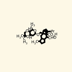 CC(C)C1=CC2CC3(C=O)C4CCC(C)C4CC2(CO[C@@H]2C[C@@H]4OC(C)(C)CO[C@H]4[C@@H](C)O2)C13C(=O)O